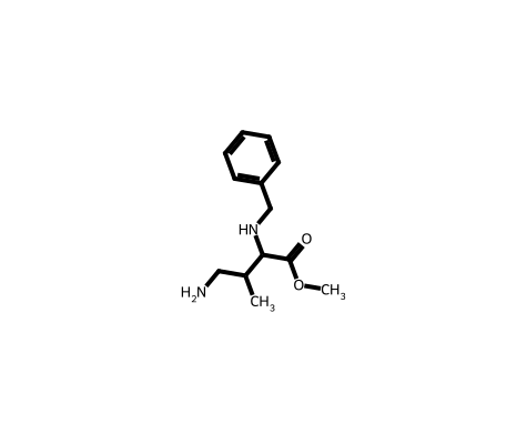 COC(=O)C(NCc1ccccc1)C(C)CN